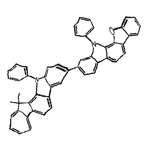 CC1(C)c2ccccc2-c2ccc3c4cc(-c5ccc6c7ccc8c9ccccc9oc8c7n(-c7ccccc7)c6c5)ccc4n(-c4ccccc4)c3c21